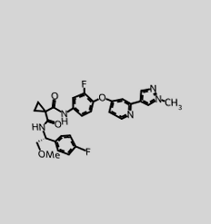 COC[C@H](NC(=O)C1(C(=O)Nc2ccc(Oc3ccnc(-c4cnn(C)c4)c3)c(F)c2)CC1)c1ccc(F)cc1